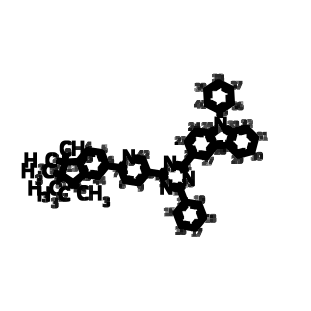 CC1(C)c2ccc(-c3ccc(-c4nc(-c5ccccc5)nc(-c5ccc6c(c5)c5ccccc5n6-c5ccccc5)n4)cn3)cc2C(C)(C)C1(C)C